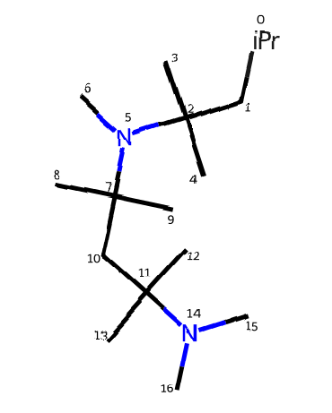 CC(C)CC(C)(C)N(C)C(C)(C)CC(C)(C)N(C)C